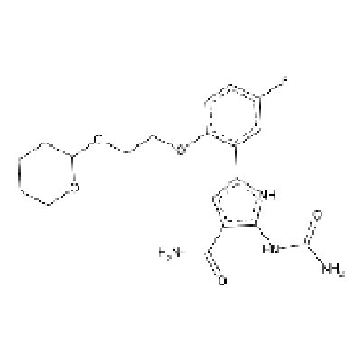 NC(=O)Nc1[nH]c(-c2cc(F)ccc2OCCOC2CCCCO2)cc1C(N)=O